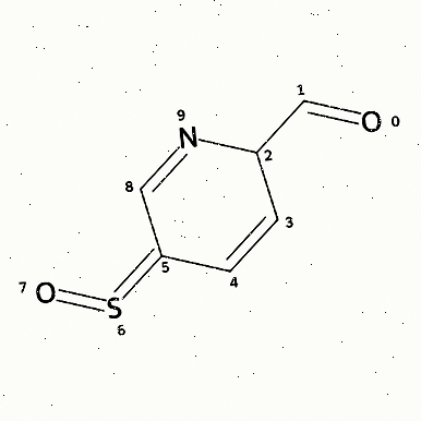 O=CC1C=CC(=S=O)C=N1